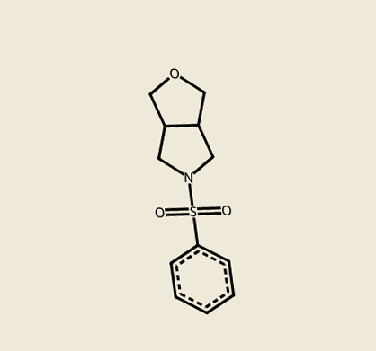 O=S(=O)(c1ccccc1)N1CC2COCC2C1